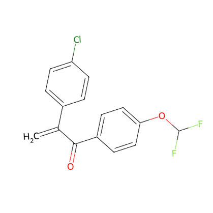 C=C(C(=O)c1ccc(OC(F)F)cc1)c1ccc(Cl)cc1